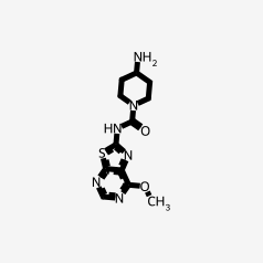 COc1ncnc2sc(NC(=O)N3CCC(N)CC3)nc12